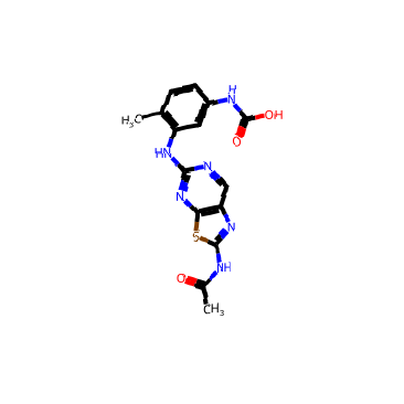 CC(=O)Nc1nc2cnc(Nc3cc(NC(=O)O)ccc3C)nc2s1